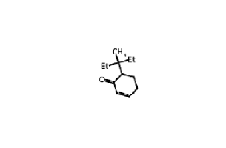 CCC(C)(CC)C1CCC=CC1=O